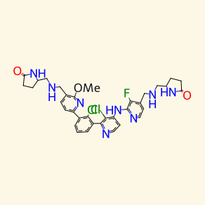 COc1nc(-c2cccc(-c3nccc(Nc4nccc(CNCC5CCC(=O)N5)c4F)c3Cl)c2Cl)ccc1CNCC1CCC(=O)N1